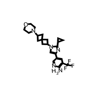 Nc1ncc(-c2cn(C3CC4(CC(N5CCOCC5)C4)C3)c(C3CC3)n2)cc1C(F)(F)F